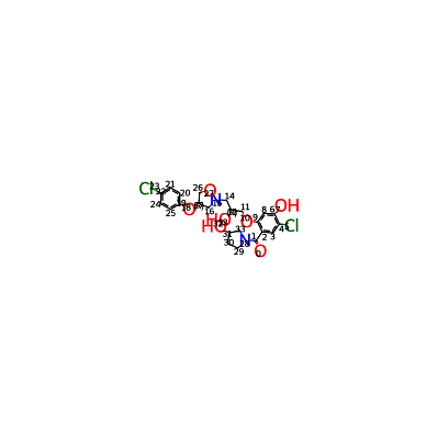 O=C(c1cc(Cl)c(O)cc1OC[C@H](O)CN1C[C@@H](Oc2ccc(Cl)cc2)CO1)N1CCC(O)C1